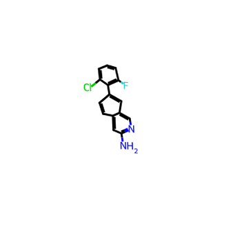 Nc1cc2ccc(-c3c(F)cccc3Cl)cc2cn1